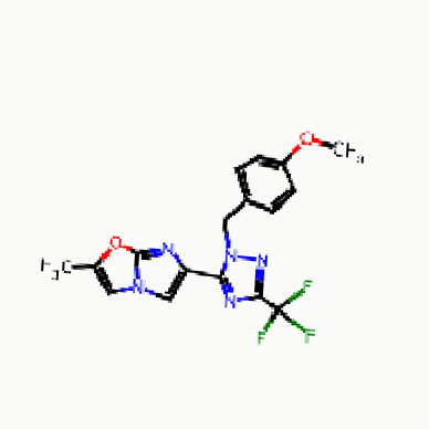 COc1ccc(Cn2nc(C(F)(F)F)nc2-c2cn3cc(C)oc3n2)cc1